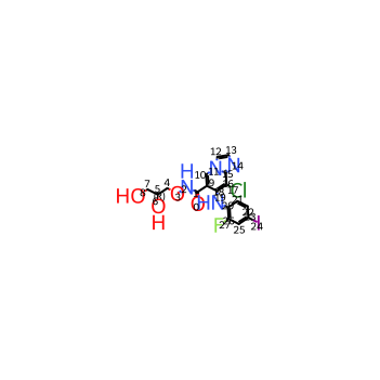 O=C(NOC[C@H](O)CO)c1cn2ccnc2c(Cl)c1Nc1ccc(I)cc1F